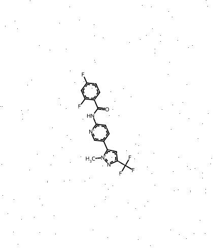 Cn1nc(C(F)(F)F)cc1-c1ccc(NC(=O)c2ccc(F)cc2F)nc1